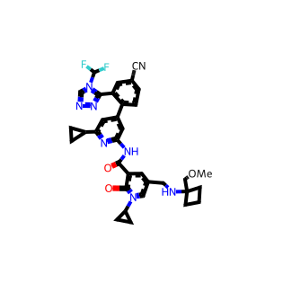 COCC1(NCc2cc(C(=O)Nc3cc(-c4ccc(C#N)cc4-c4nncn4C(F)F)cc(C4CC4)n3)c(=O)n(C3CC3)c2)CCC1